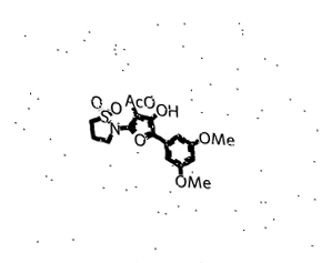 COc1cc(OC)cc(-c2oc(N3CCCS3(=O)=O)c(OC(C)=O)c2O)c1